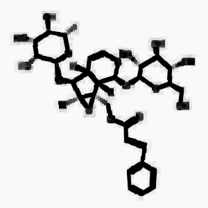 C[C@@H]1O[C@@H](O[C@H]2[C@@H]3C=CO[C@@H](O[C@@H]4O[C@H](CO)[C@@H](O)[C@H](O)[C@H]4O)[C@@H]3[C@@]3(COC(=O)/C=C/c4ccccc4)O[C@@H]23)[C@H](O)[C@H](O)[C@H]1O